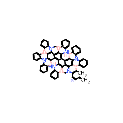 C=C/C=C\C1=C(C)B2c3ccccc3N3c4ccccc4Bc4c3c2c2c3c5c(c6c7c8c9c%10c%11c7c7c(c6c43)Nc3ccccc3B7CN%11c3ccccc3B%10c3ccccc3N9c3ccccc3B8)Nc3ccccc3B5CN12